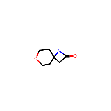 O=C1CC2(CCOCC2)N1